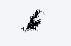 COc1ccnc(C[S+]([O-])c2nc3ccc(OC(F)F)cc3n2S(=O)(=O)c2cc(C(=O)OCCS(=O)(=O)c3ccc(C)cc3)ccc2C)c1OC